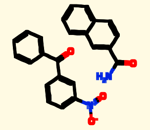 NC(=O)c1ccc2ccccc2c1.O=C(c1ccccc1)c1cccc([N+](=O)[O-])c1